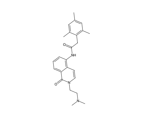 Cc1cc(C)c(CC(=O)Nc2cccc3c(=O)n(CCN(C)C)ccc23)c(C)c1